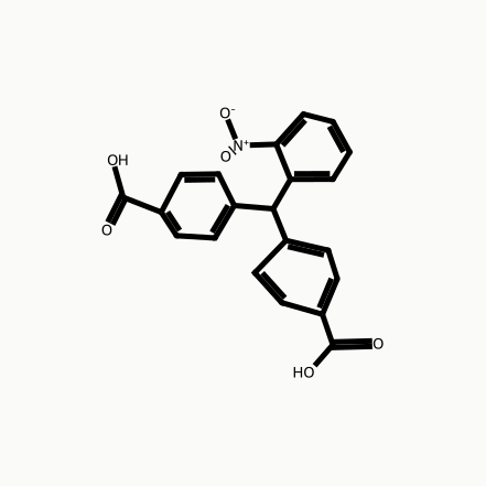 O=C(O)c1ccc(C(c2ccc(C(=O)O)cc2)c2ccccc2[N+](=O)[O-])cc1